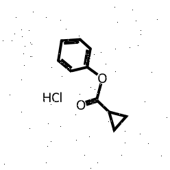 Cl.O=C(Oc1ccccc1)C1CC1